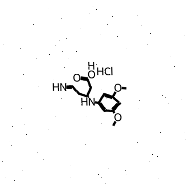 COc1cc(NC(CC=N)CC(=O)O)cc(OC)c1.Cl